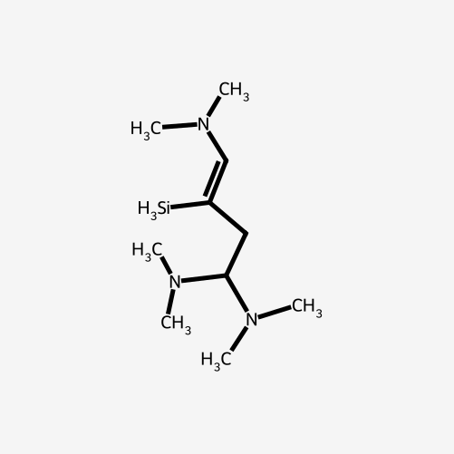 CN(C)C=C([SiH3])CC(N(C)C)N(C)C